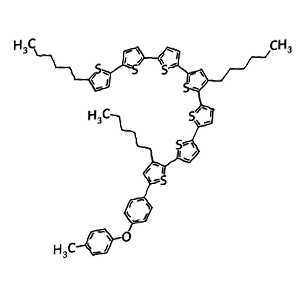 CCCCCCc1ccc(-c2ccc(-c3ccc(-c4cc(CCCCCC)c(-c5ccc(-c6ccc(-c7sc(-c8ccc(Oc9ccc(C)cc9)cc8)cc7CCCCCC)s6)s5)s4)s3)s2)s1